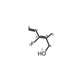 C=C/C(F)=C(\C)CO